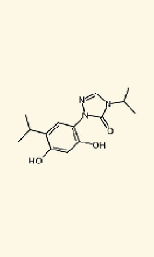 CC(C)c1cc(-n2ncn(C(C)C)c2=O)c(O)cc1O